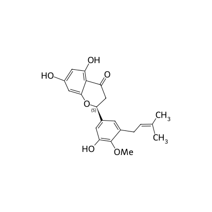 COc1c(O)cc([C@@H]2CC(=O)c3c(O)cc(O)cc3O2)cc1CC=C(C)C